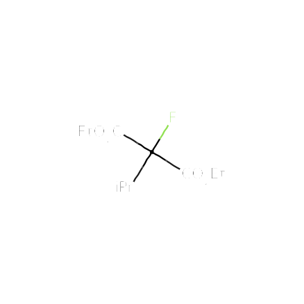 CCOC(=O)C(F)(C(=O)OCC)C(C)C